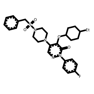 CCC1CCC(Oc2c(N3CCN(S(=O)(=O)Cc4ccccc4)CC3)cnn(-c3ccc(F)cc3)c2=O)CC1